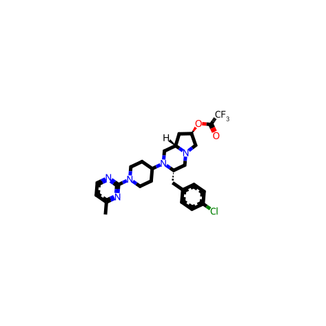 Cc1ccnc(N2CCC(N3C[C@@H]4C[C@@H](OC(=O)C(F)(F)F)CN4C[C@@H]3Cc3ccc(Cl)cc3)CC2)n1